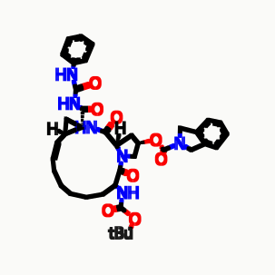 CC(C)(C)OC(=O)N[C@H]1CCCCC/C=C\[C@@H]2C[C@@]2(C(=O)NC(=O)Nc2ccccc2)NC(=O)[C@@H]2C[C@@H](OC(=O)N3Cc4ccccc4C3)CN2C1=O